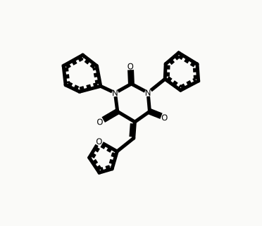 O=C1C(=Cc2ccco2)C(=O)N(c2ccccc2)C(=O)N1c1ccccc1